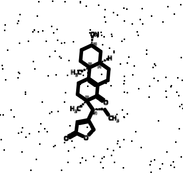 CC[C@H](C1=CC(=O)OC1)[C@@]1(C)CCC2=C(CC[C@@H]3C[C@@H](O)CC[C@]23C)C1=O